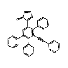 O=C1C=CC=C1c1cc(-c2ccccc2)c(-c2ccccc2)c(C#Cc2ccncc2)c1-c1ccccc1